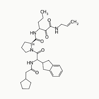 C=CCNC(=O)C(=O)C(CCC)NC(=O)[C@@H]1CCCN1C(=O)C(NC(=O)CC1CCCC1)C1Cc2ccccc2C1